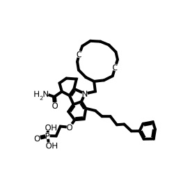 NC(=O)C1CCCc2c1c1cc(OCCP(=O)(O)O)cc(CCCCCCc3ccccc3)c1n2CC1CCCCCCCCCCCCC1